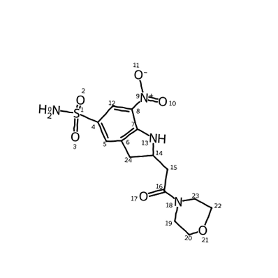 NS(=O)(=O)c1cc2c(c([N+](=O)[O-])c1)NC(CC(=O)N1CCOCC1)C2